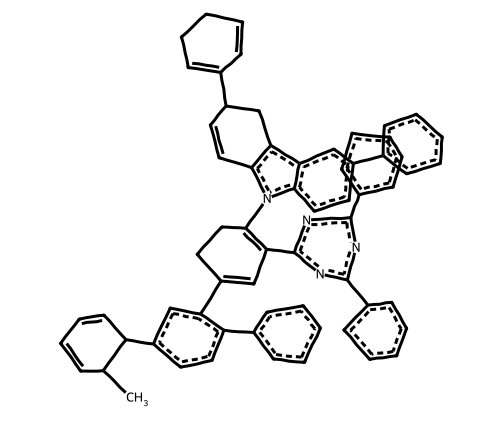 CC1C=CC=CC1c1ccc(-c2ccccc2)c(C2=CC(c3nc(-c4ccccc4)nc(-c4ccccc4)n3)=C(n3c4c(c5cc(-c6ccccc6)ccc53)CC(C3=CCCC=C3)C=C4)CC2)c1